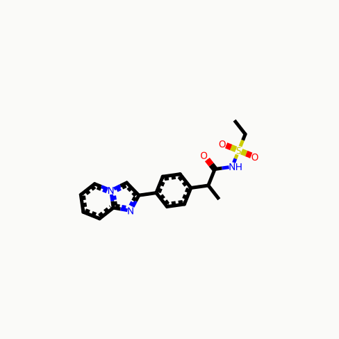 CCS(=O)(=O)NC(=O)C(C)c1ccc(-c2cn3ccccc3n2)cc1